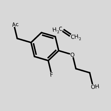 C=C.CC(=O)Cc1ccc(OCCO)c(F)c1